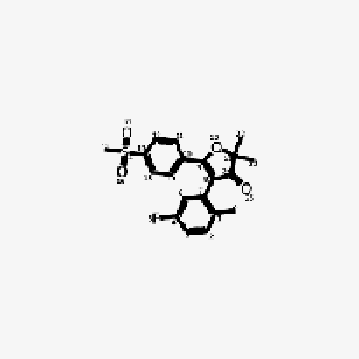 Cc1ccc(F)cc1C1=C(c2ccc(S(C)(=O)=O)cc2)OC(C)(C)C1=O